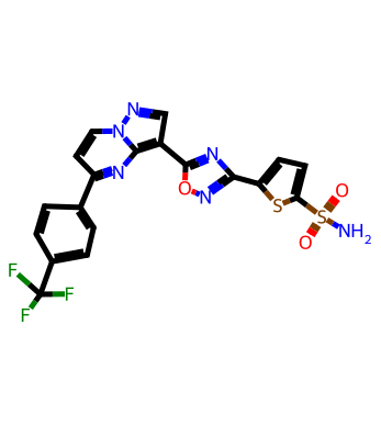 NS(=O)(=O)c1ccc(-c2noc(-c3cnn4ccc(-c5ccc(C(F)(F)F)cc5)nc34)n2)s1